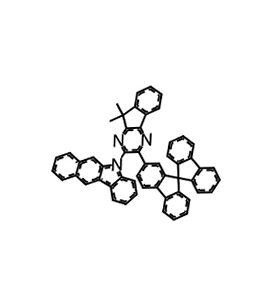 CC1(C)c2ccccc2-c2nc(-c3ccc4c(c3)C3(c5ccccc5-c5ccccc53)c3ccccc3-4)c(-n3c4ccccc4c4cc5ccccc5cc43)nc21